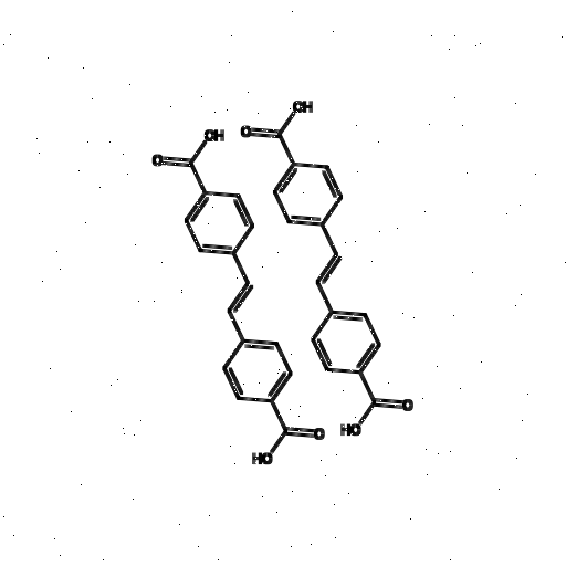 O=C(O)c1ccc(C=Cc2ccc(C(=O)O)cc2)cc1.O=C(O)c1ccc(C=Cc2ccc(C(=O)O)cc2)cc1